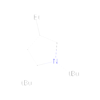 CCC1C[C@@H](C(C)(C)C)N(C(C)(C)C)C1